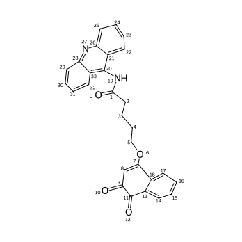 O=C(CCCCOC1=CC(=O)C(=O)c2ccccc21)Nc1c2ccccc2nc2ccccc12